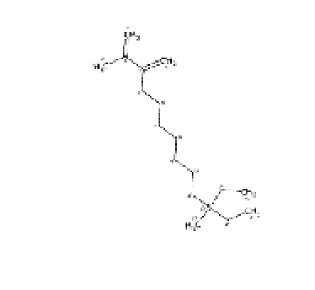 C=C(C)C(=C)CCCCCCCS(C)(CC)CC